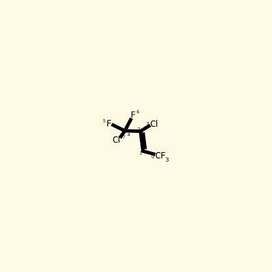 FC(F)(F)C=C(Cl)C(F)(F)Cl